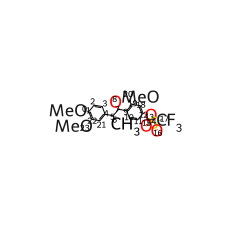 COc1ccc(C(C)C(=O)c2ccc(OS(=O)(=O)C(F)(F)F)cc2OC)cc1OC